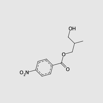 CC(CO)COC(=O)c1ccc([N+](=O)[O-])cc1